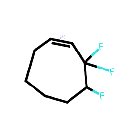 FC1CCCC/C=C\C1(F)F